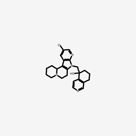 OC1(Cn2c3c(c4cc(Cl)cnc42)C2CCCCN2CC3)CCCc2cnccc21